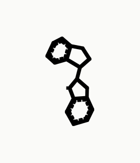 [C]1c2ccccc2CC1C1CCc2ccccc21